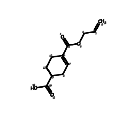 C=CCOC(=O)C1=CCC(C(=O)O)CC1